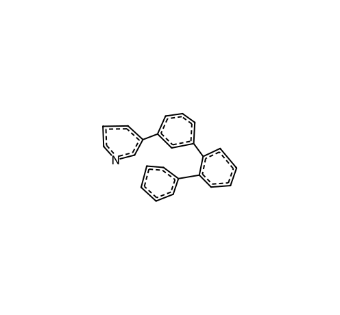 c1ccc(-c2ccccc2-c2cccc(-c3cccnc3)c2)cc1